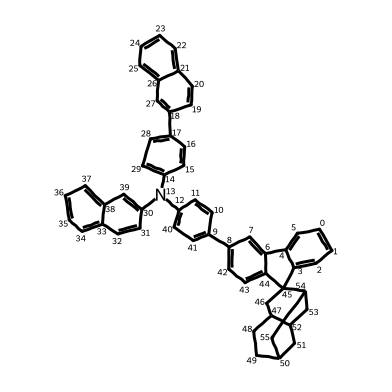 c1ccc2c(c1)-c1cc(-c3ccc(N(c4ccc(-c5ccc6ccccc6c5)cc4)c4ccc5ccccc5c4)cc3)ccc1C21CC2CCC3CC2CC1C3